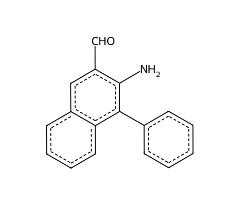 Nc1c(C=O)cc2ccccc2c1-c1ccccc1